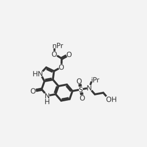 CCCOC(=O)Oc1c[nH]c2c(=O)[nH]c3ccc(S(=O)(=O)N(CCO)C(C)C)cc3c12